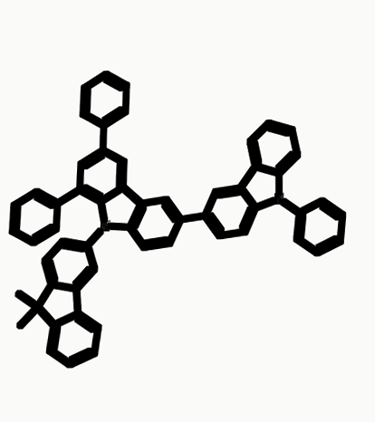 CC1(C)c2ccccc2-c2cc(-n3c4ccc(-c5ccc6c(c5)c5ccccc5n6-c5ccccc5)cc4c4cc(-c5ccccc5)cc(-c5ccccc5)c43)ccc21